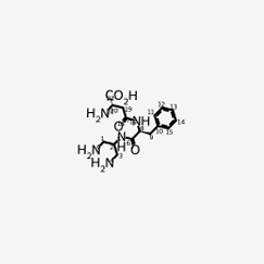 NCC(CN)NC(=O)[C@H](Cc1ccccc1)NC(=O)C[C@H](N)C(=O)O